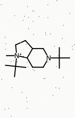 CC(C)(C)N1CCC2C(CC[N+]2(C)C(C)(C)C)C1